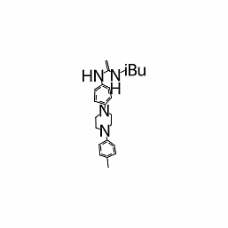 C=C(Nc1ccc(N2CCN(c3ccc(C)cc3)CC2)cc1)NC(C)CC